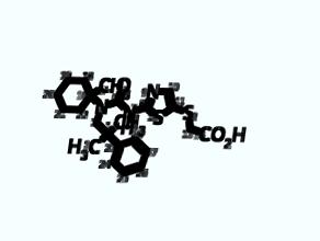 CC(C)(CN(C(=O)Nc1ncc(SCC(=O)O)s1)C1(C)CCCCC1)c1ccccc1